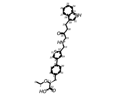 CCO[C@@H](Cc1ccc(-c2csc(CNCC(=O)CCc3c[nH]c4ccccc34)c2)cc1)C(=O)O